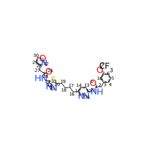 O=C(Cc1cccc(OC(F)(F)F)c1)Nc1ccc(CCCCc2nnc(NC(=O)Cc3ccon3)s2)nn1